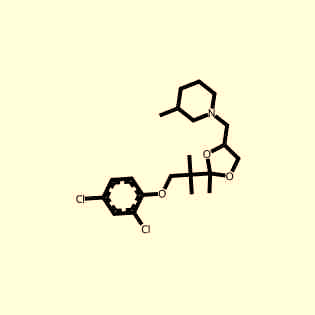 CC1CCCN(CC2COC(C)(C(C)(C)COc3ccc(Cl)cc3Cl)O2)C1